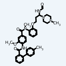 COc1cc(C(=O)N(C)c2ccccc2OCCC(NC=O)N2CCN(C)CC2)ccc1NC(=O)c1ccccc1-c1ccc(C)cc1